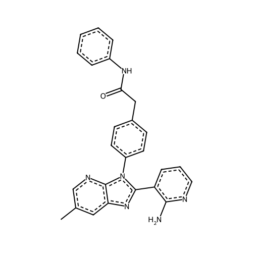 Cc1cnc2c(c1)nc(-c1cccnc1N)n2-c1ccc(CC(=O)Nc2ccccc2)cc1